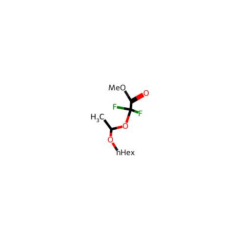 CCCCCCOC(C)OC(F)(F)C(=O)OC